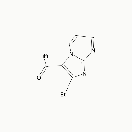 CCc1nc2ncccn2c1C(=O)C(C)C